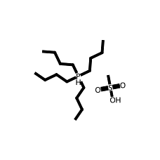 CCCC[PH](CCCC)(CCCC)CCCC.CS(=O)(=O)O